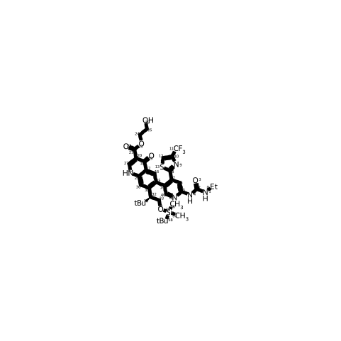 CCNC(=O)Nc1cc(-c2nc(C(F)(F)F)cs2)c(-c2cc3c(=O)c(C(=O)OCCO)c[nH]c3cc2[C@@H](CO[Si](C)(C)C(C)(C)C)C(C)(C)C)cn1